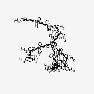 COCCCONC(=O)CCCC(=O)NCCOC(C)(C)CCOC(C)(C)CCC(=O)NC(COCCC(=O)NCCOC(C)(C)CCOC(C)(C)C)(COCCC(=O)NCCOC(C)(C)CCOC(C)(C)C)COCCC(=O)NCCOC(C)(C)CCOC(C)(C)C